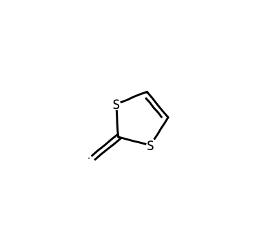 [CH]=C1SC=CS1